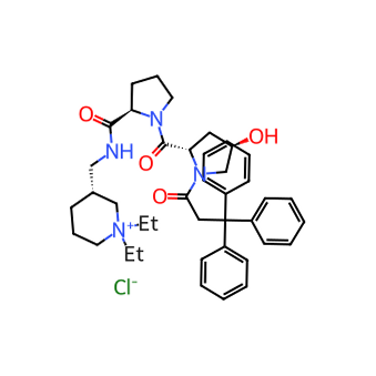 CC[N+]1(CC)CCC[C@H](CNC(=O)[C@H]2CCCN2C(=O)[C@@H]2C[C@@H](O)CN2C(=O)CC(c2ccccc2)(c2ccccc2)c2ccccc2)C1.[Cl-]